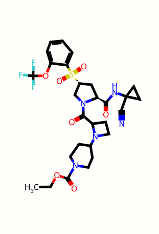 CCOC(=O)N1CCC(N2CCC2C(=O)N2C[C@H](S(=O)(=O)c3ccccc3OC(F)(F)F)C[C@H]2C(=O)NC2(C#N)CC2)CC1